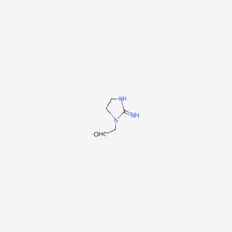 N=C1NCCN1C[C]=O